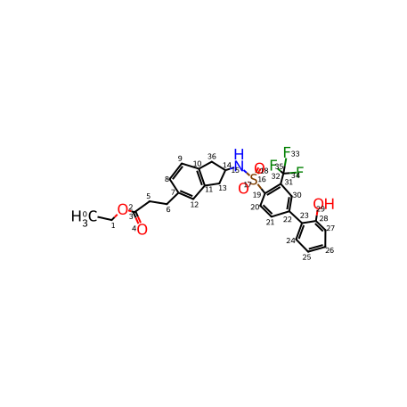 CCOC(=O)CCc1ccc2c(c1)CC(NS(=O)(=O)c1ccc(-c3ccccc3O)cc1C(F)(F)F)C2